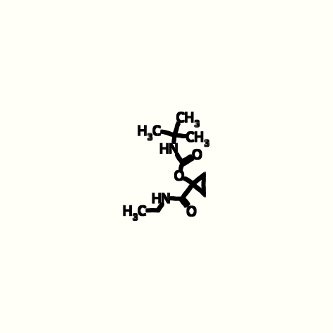 CCNC(=O)C1(OC(=O)NC(C)(C)C)CC1